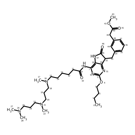 CCCCOc1nc(NC(=O)CCCCCN(C)CCCN(C)CCCN(C)C)c2c(n1)C(Cc1cccc(CC(=O)OC)c1)C(=O)N2